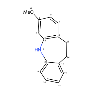 COc1ccc2c(c1)Nc1ccccc1CC2